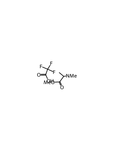 CNC(C)C(=O)OC.O=C(O)C(F)(F)F